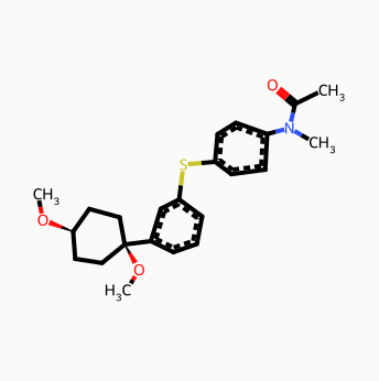 CO[C@H]1CC[C@](OC)(c2cccc(Sc3ccc(N(C)C(C)=O)cc3)c2)CC1